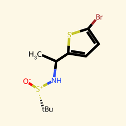 CC(N[S@@+]([O-])C(C)(C)C)c1ccc(Br)s1